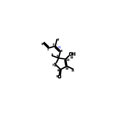 C=C/C(C)=C\C1(C)SC(=O)C(C)=C1O